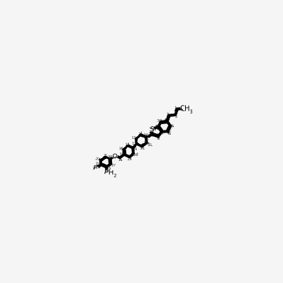 CCCCc1ccc2cc(C3CCC(C4CC=C(COc5ccc(F)c(P)c5)CC4)CC3)sc2c1